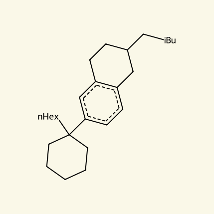 CCCCCCC1(c2ccc3c(c2)CCC(CC(C)CC)C3)CCCCC1